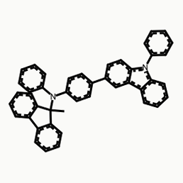 CC1(N(c2ccccc2)c2ccc(-c3ccc4c(c3)c3ccccc3n4-c3ccccc3)cc2)c2ccccc2-c2ccccc21